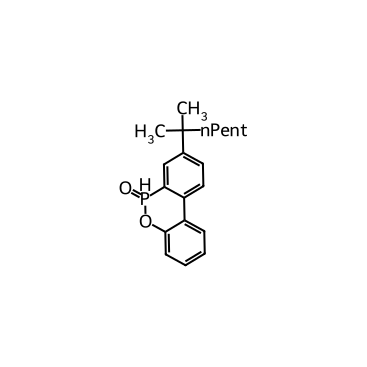 CCCCCC(C)(C)c1ccc2c(c1)[PH](=O)Oc1ccccc1-2